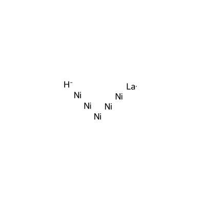 [H-].[La].[Ni].[Ni].[Ni].[Ni].[Ni]